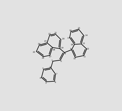 C(Cc1ccccc1)=C(c1cccc2ccccc12)c1cccc2ccccc12